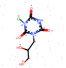 O=c1[nH]c(=O)n(CC(O)CO)c(=O)n1Cl